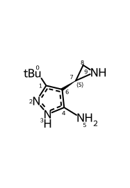 CC(C)(C)c1n[nH]c(N)c1[C@H]1CN1